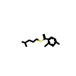 C=C(SCCCC(C)C)c1ccc(C)cc1C